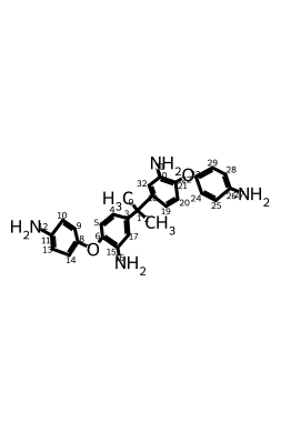 CC(C)(c1ccc(Oc2ccc(N)cc2)c(N)c1)c1ccc(Oc2ccc(N)cc2)c(N)c1